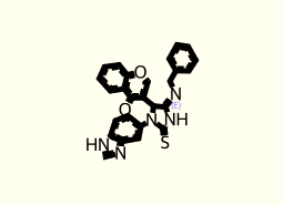 O=c1c(C2/C(=N\Cc3ccccc3)NC(=S)N2c2ccc3[nH]cnc3c2)coc2ccccc12